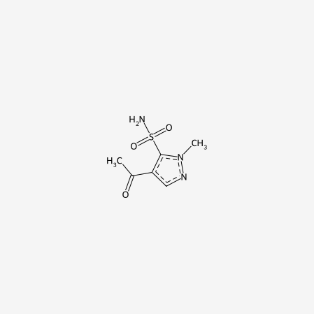 CC(=O)c1cnn(C)c1S(N)(=O)=O